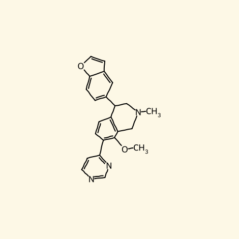 COc1c(-c2ccncn2)ccc2c1CN(C)CC2c1ccc2occc2c1